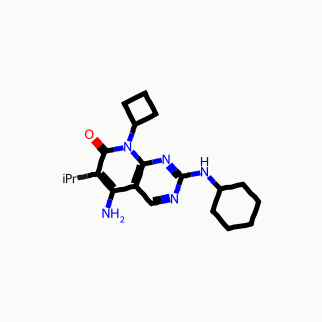 CC(C)c1c(N)c2cnc(NC3CCCCC3)nc2n(C2CCC2)c1=O